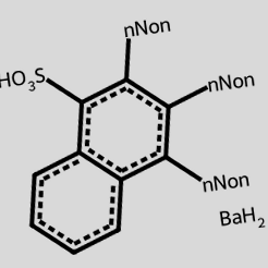 CCCCCCCCCc1c(CCCCCCCCC)c(S(=O)(=O)O)c2ccccc2c1CCCCCCCCC.[BaH2]